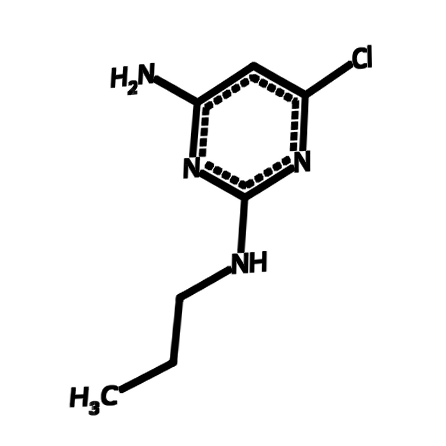 CCCNc1nc(N)cc(Cl)n1